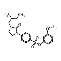 CCC(C)CN1CCN(c2ccc(S(=O)(=O)Oc3cccc(OC)c3)cc2)C1=O